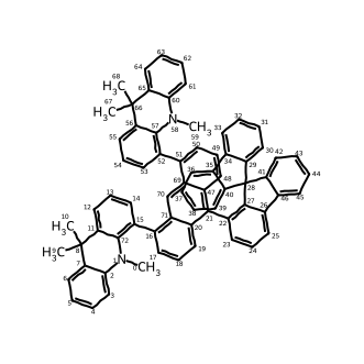 CN1c2ccccc2C(C)(C)c2cccc(-c3cccc4c(-c5cccc6c5C5(c7ccccc7-c7ccccc75)c5ccccc5-6)c5cccc(-c6cccc7c6N(C)c6ccccc6C7(C)C)c5cc34)c21